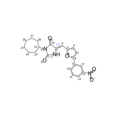 O=C1N/C(=C\c2ccc(-c3cccc([N+](=O)[O-])c3)o2)C(=O)N1C1CCCCCC1